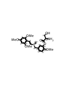 COc1cc(OC)c(/C=C/[S+]([O-])Cc2ccc(OC)c(OC(=O)C(N)CO)c2)c(OC)c1